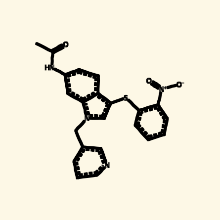 CC(=O)Nc1ccc2c(Sc3ccccc3[N+](=O)[O-])cn(Cc3cccnc3)c2c1